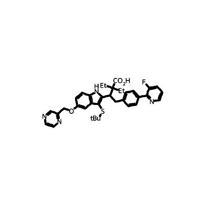 CCC(CC)(C(=O)O)C(Cc1ccc(-c2ncccc2F)cc1)c1[nH]c2ccc(OCc3cnccn3)cc2c1SC(C)(C)C